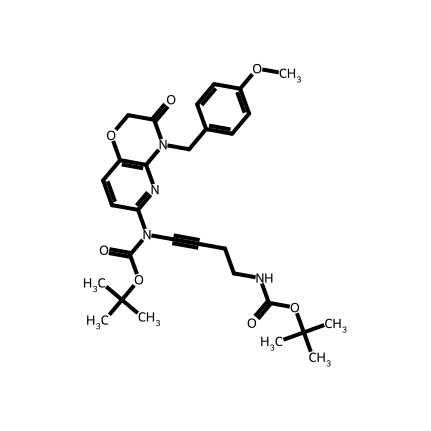 COc1ccc(CN2C(=O)COc3ccc(N(C#CCCNC(=O)OC(C)(C)C)C(=O)OC(C)(C)C)nc32)cc1